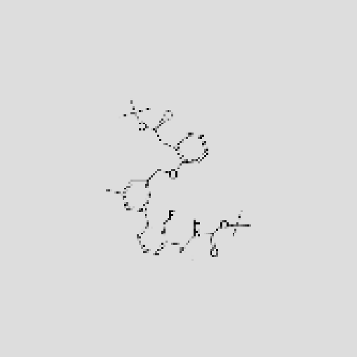 Cc1cc(COc2ccccc2CC(=O)OC(C)(C)C)cc(-c2cccc([C@@H](C)NC(=O)OC(C)(C)C)c2F)c1